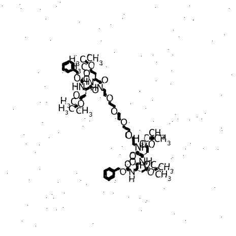 CC(C)(C)OC(=O)C[C@H](NC(=O)OCc1ccccc1)C(=O)N[C@@H](CC(=O)OC(C)(C)C)C(=O)NCCOCCOCCOCCOCCNC(=O)[C@H](CC(=O)OC(C)(C)C)NC(=O)[C@H](CC(=O)OC(C)(C)C)NC(=O)OCc1ccccc1